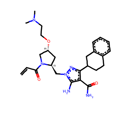 C=CC(=O)N1C[C@H](OCCN(C)C)C[C@H]1Cn1nc(C2CCc3ccccc3C2)c(C(N)=O)c1N